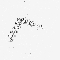 O.O.O.O.O.O.O.O.O.[Zr]